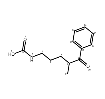 CC(CCCNC(=O)O)C(=O)c1ccccc1